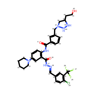 O=C(Nc1ccc(N2CCCCC2)cc1C(=O)N/N=C/c1ccc(Cl)c(C(F)(F)F)c1)c1cccc(CN2CC(CCO)NN2)c1